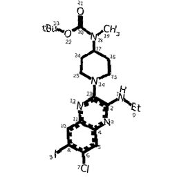 CCNc1nc2cc(Cl)c(I)cc2nc1N1CCC(N(C)C(=O)OC(C)(C)C)CC1